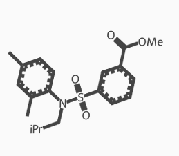 COC(=O)c1cccc(S(=O)(=O)N(CC(C)C)c2ccc(C)cc2C)c1